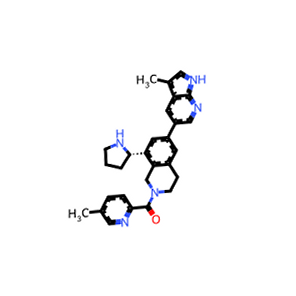 Cc1ccc(C(=O)N2CCc3cc(-c4cnc5[nH]cc(C)c5c4)cc([C@@H]4CCCN4)c3C2)nc1